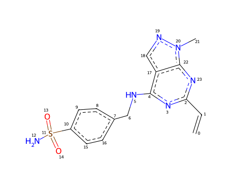 C=Cc1nc(NCc2ccc(S(N)(=O)=O)cc2)c2cnn(C)c2n1